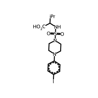 CC(C)C(NS(=O)(=O)N1CCN(c2ccc(I)cc2)CC1)C(=O)O